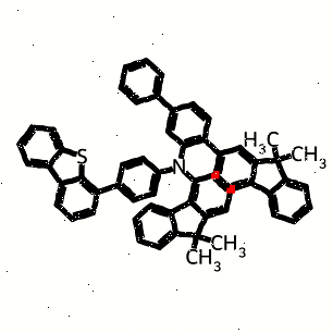 CC1(C)c2ccccc2-c2ccc(-c3ccc(-c4ccccc4)cc3N(c3ccc(-c4cccc5c4sc4ccccc45)cc3)c3cccc4c3-c3ccccc3C4(C)C)cc21